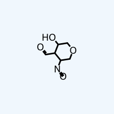 O=CC1C(O)COCC1N=O